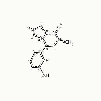 Cn1cc(-c2cccc(S)c2)n2cncc2c1=O